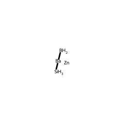 [BH2][Ba][SiH3].[Zn]